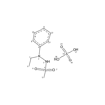 CCN(NS(C)(=O)=O)c1ccccc1.O=S(=O)(O)O